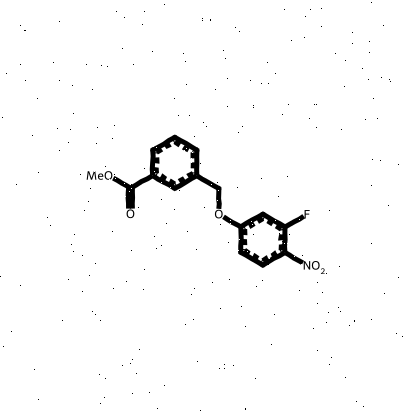 COC(=O)c1cccc(COc2ccc([N+](=O)[O-])c(F)c2)c1